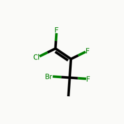 CC(F)(Br)C(F)=C(F)Cl